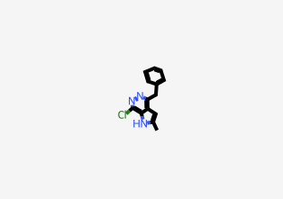 Cc1cc2c(Cc3ccccc3)nnc(Cl)c2[nH]1